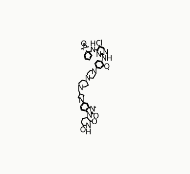 COc1cc(N2CCN(C3CCN(CC4CN(c5ccc6c(c5)n(C)c(=O)n6C5CCC(=O)NC5=O)C4)CC3)CC2)ccc1Nc1ncc(Cl)c(Nc2ccccc2P(C)(C)=O)n1